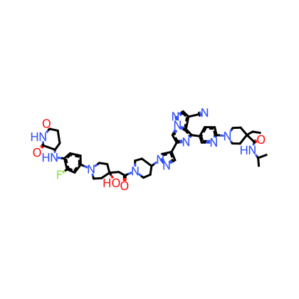 CCC1(C(=O)NC(C)C)CCN(c2ccc(-c3nc(-c4cnn(C5CCN(C(=O)CC6(O)CCN(c7ccc(NC8CCC(=O)NC8=O)c(F)c7)CC6)CC5)c4)cn4ncc(C#N)c34)cn2)CC1